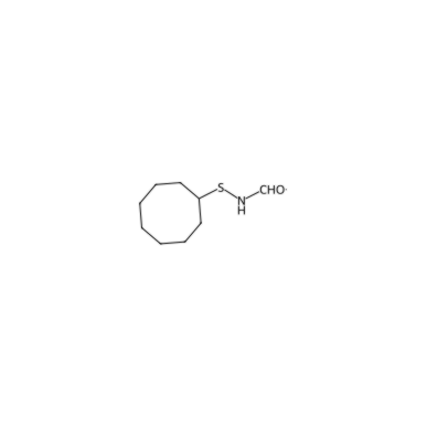 O=[C]NSC1CCCCCCC1